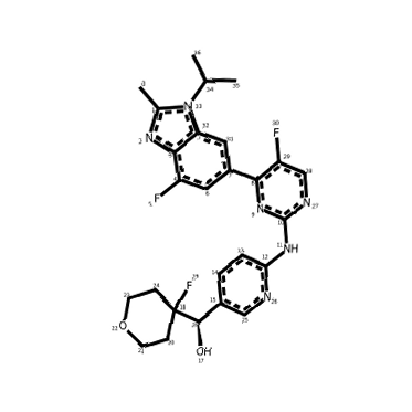 Cc1nc2c(F)cc(-c3nc(Nc4ccc([C@@H](O)C5(F)CCOCC5)cn4)ncc3F)cc2n1C(C)C